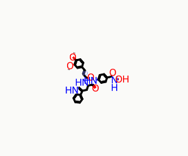 COc1ccc(/C=C/C(=O)NC(Cc2c[nH]c3ccccc23)C(=O)Nc2ccc(C(=O)NO)cc2)cc1OC